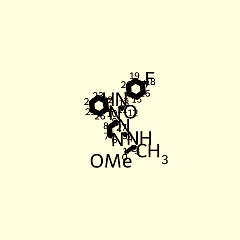 COCC(C)Nc1nccc(N(C(=O)Nc2ccc(F)cc2)c2ccccc2)n1